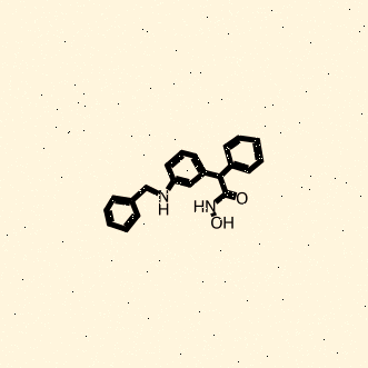 O=C(NO)C(c1ccccc1)c1cccc(NCc2ccccc2)c1